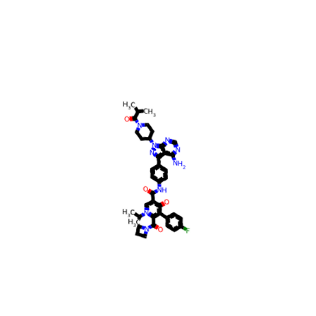 CC(C)C(=O)N1CCC(n2nc(-c3ccc(NC(=O)c4cn(C(C)C)c(C(=O)N5CCC5)c(-c5ccc(F)cc5)c4=O)cc3)c3c(N)ncnc32)CC1